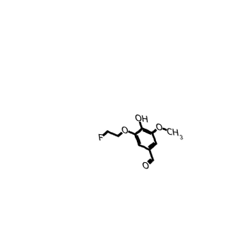 COc1cc(C=O)cc(OCCF)c1O